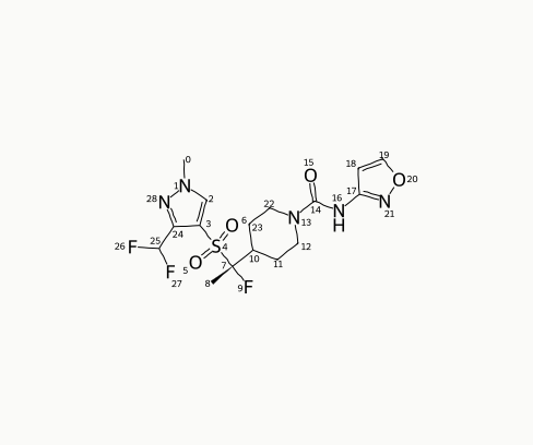 Cn1cc(S(=O)(=O)[C@@](C)(F)C2CCN(C(=O)Nc3ccon3)CC2)c(C(F)F)n1